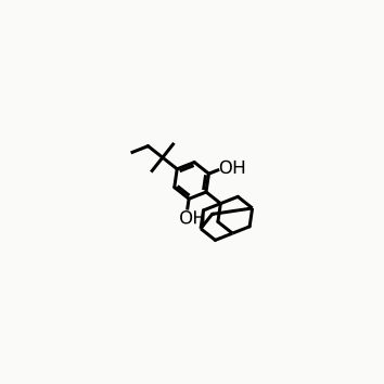 CCC(C)(C)c1cc(O)c(C23CC4CC(CC(C4)C2)C3)c(O)c1